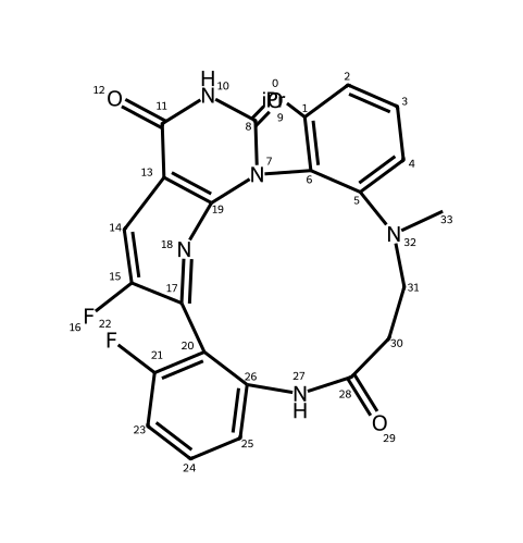 CC(C)c1cccc2c1-n1c(=O)[nH]c(=O)c3cc(F)c(nc31)-c1c(F)cccc1NC(=O)CCN2C